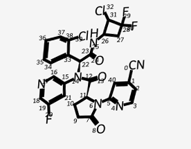 N#Cc1ccnc(N2C(=O)CC[C@H]2C(=O)N(c2cncc(F)c2)[C@H](C(=O)NC2CC(F)(F)C2Cl)c2ccccc2Cl)c1